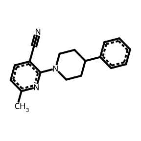 Cc1ccc(C#N)c(N2CCC(c3ccccc3)CC2)n1